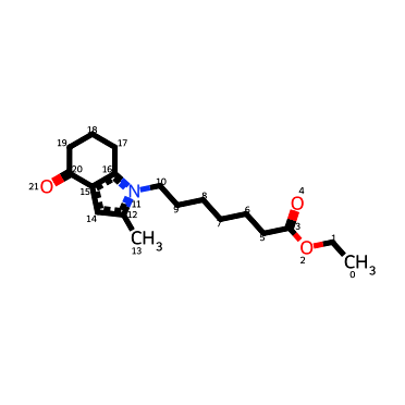 CCOC(=O)CCCCCCn1c(C)cc2c1CCCC2=O